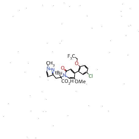 COc1cn(C(Cc2ccn(C)n2)(C(=O)O)C(C)(C)C)c(=O)cc1-c1cc(Cl)ccc1OCC(F)(F)F